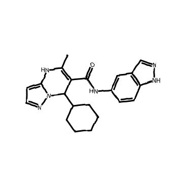 CC1=C(C(=O)Nc2ccc3[nH]ncc3c2)C(C2CCCCC2)n2nccc2N1